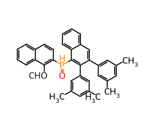 Cc1cc(C)cc(-c2cc3ccccc3c([PH](=O)c3ccc4ccccc4c3C=O)c2-c2cc(C)cc(C)c2)c1